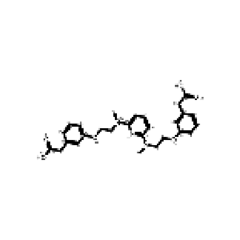 CN(CCOc1cccc(CC(=O)O)c1)c1cccc(N(C)CCOc2cccc(CC(=O)O)c2)n1